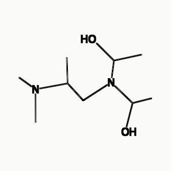 CC(CN(C(C)O)C(C)O)N(C)C